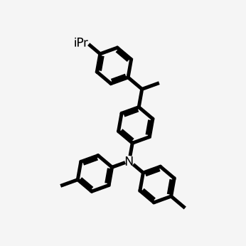 Cc1ccc(N(c2ccc(C)cc2)c2ccc(C(C)c3ccc(C(C)C)cc3)cc2)cc1